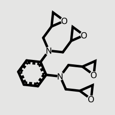 c1ccc(N(CC2CO2)CC2CO2)c(N(CC2CO2)CC2CO2)c1